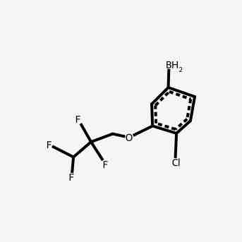 Bc1ccc(Cl)c(OCC(F)(F)C(F)F)c1